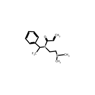 C=CC(=O)N(CCN(C)C)C(c1ccccc1)C(F)(F)F